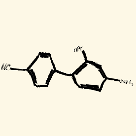 CCCc1cc(N)ccc1-c1ccc(C#N)cc1